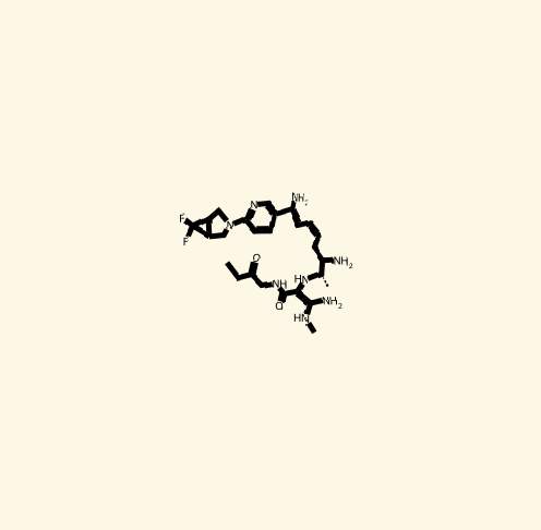 CCC(=O)CNC(=O)/C(N[C@@H](C)C(N)C/C=C\C=C(/N)c1ccc(N2CC3C(C2)C3(F)F)nc1)=C(/N)NC